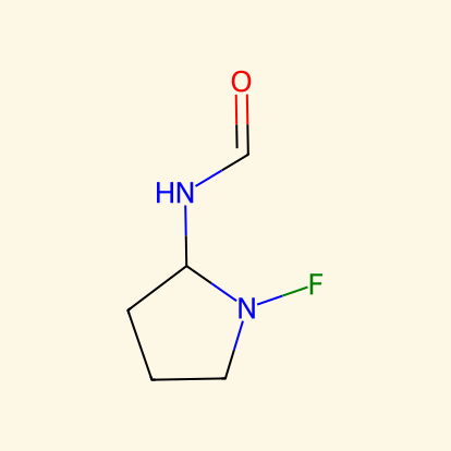 O=CNC1CCCN1F